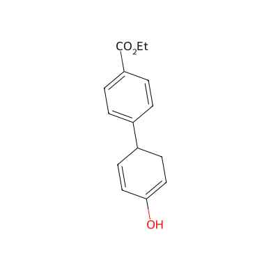 CCOC(=O)c1ccc(C2C=CC(O)=CC2)cc1